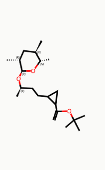 C=C(OC(C)(C)C)C1CC1CC[C@@H](C)O[C@@H]1O[C@@H](C)[C@H](C)C[C@H]1C